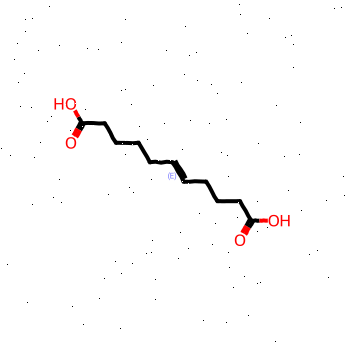 O=C(O)CCC/C=C/CCCCC(=O)O